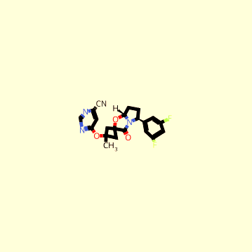 CC1(Oc2cc(C#N)ncn2)CC2(C1)O[C@@H]1CC[C@@H](c3cc(F)cc(F)c3)N1C2=O